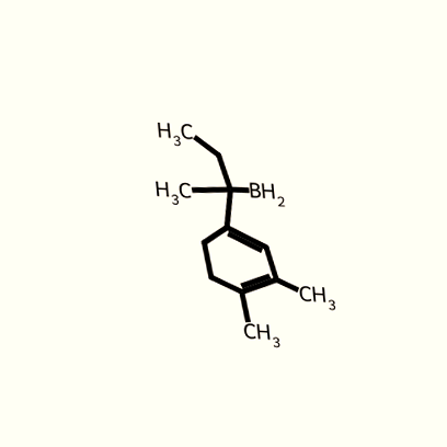 BC(C)(CC)C1=CC(C)=C(C)CC1